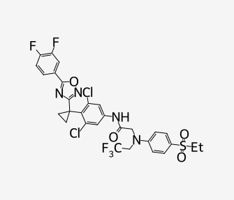 CCS(=O)(=O)c1ccc(N(CC(=O)Nc2cc(Cl)c(C3(c4noc(-c5ccc(F)c(F)c5)n4)CC3)c(Cl)c2)CC(F)(F)F)cc1